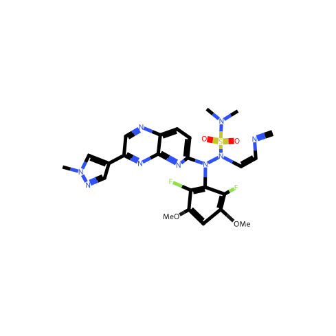 C=N/C=C\N(N(c1ccc2ncc(-c3cnn(C)c3)nc2n1)c1c(F)c(OC)cc(OC)c1F)S(=O)(=O)N(C)C